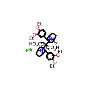 CCOc1ccc(C[N+]2(C)C3CCC2CC(C(CC(=O)O)(C(=O)O)C2CC4CCC(C2)[N+]4(C)Cc2ccc(OCC)c(OCC)c2)C3)cc1OCC.[Br-].[Br-]